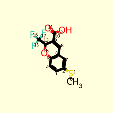 CSc1ccc2c(c1)C=C(C(=O)O)C(C(F)(F)F)O2